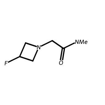 CNC(=O)CN1CC(F)C1